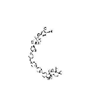 CC1(C)[C@H](NC(=O)c2ccc(N3CCC(CN4CCN(C5CCN(c6ccc7nnn(C8CCC(=O)NC8=O)c(=O)c7c6)CC5)CC4)CC3)nc2)C(C)(C)[C@H]1Oc1ccc(C#N)c(Cl)c1